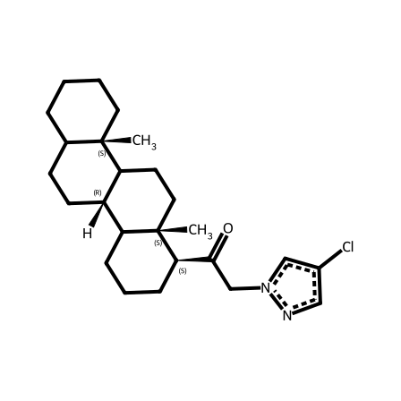 C[C@]12CCCCC1CC[C@@H]1C2CC[C@@]2(C)C1CCC[C@@H]2C(=O)Cn1cc(Cl)cn1